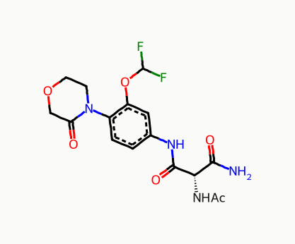 CC(=O)N[C@@H](C(N)=O)C(=O)Nc1ccc(N2CCOCC2=O)c(OC(F)F)c1